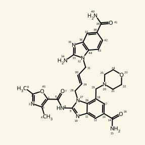 Cc1nc(C)c(C(=O)Nc2nc3cc(C(N)=O)cc(CN4CCOCC4)c3n2C/C=C/Cn2c(N)nc3cc(C(N)=O)ccc32)o1